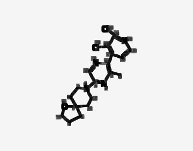 Cc1nc(N2CCC3(CCCO3)CC2)cnc1-c1ccnc(Cl)c1Cl